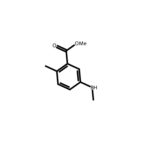 CBc1ccc(C)c(C(=O)OC)c1